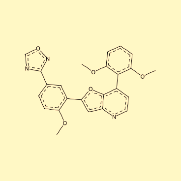 COc1ccc(-c2ncon2)cc1-c1cc2nccc(-c3c(OC)cccc3OC)c2o1